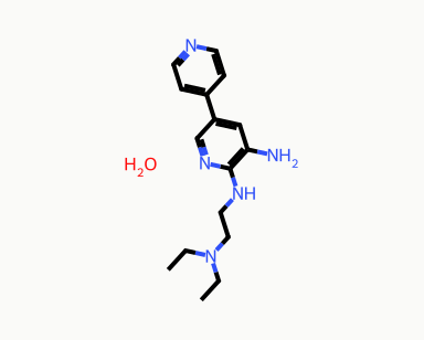 CCN(CC)CCNc1ncc(-c2ccncc2)cc1N.O